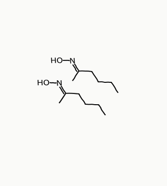 CCCC/C(C)=N/O.CCCC/C(C)=N/O